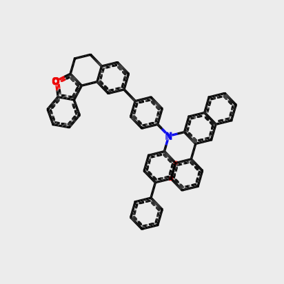 c1ccc(-c2ccc(N(c3ccc(-c4ccc5c(c4)-c4c(oc6ccccc46)CC5)cc3)c3cc4ccccc4cc3-c3ccccc3)cc2)cc1